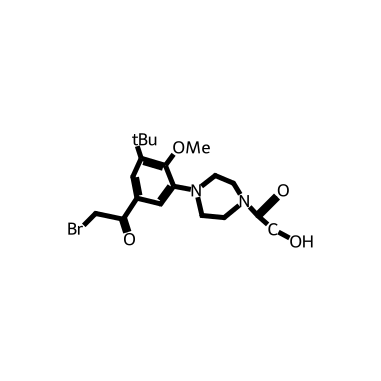 COc1c(N2CCN(C(=O)CO)CC2)cc(C(=O)CBr)cc1C(C)(C)C